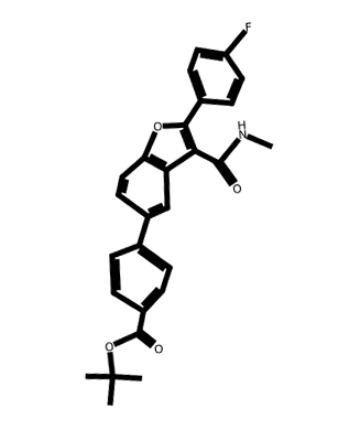 CNC(=O)c1c(-c2ccc(F)cc2)oc2ccc(-c3ccc(C(=O)OC(C)(C)C)cc3)cc12